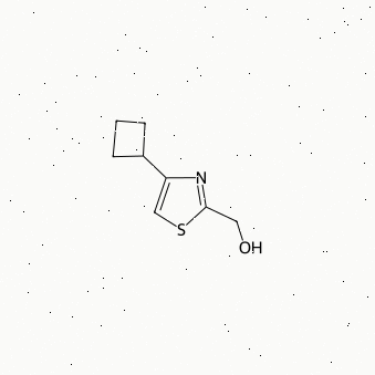 OCc1nc(C2CCC2)cs1